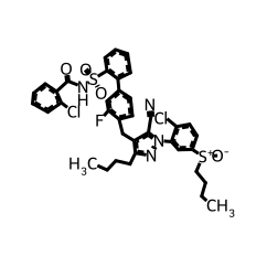 CCCCc1nn(-c2cc([S+]([O-])CCCC)ccc2Cl)c(C#N)c1Cc1ccc(-c2ccccc2S(=O)(=O)NC(=O)c2ccccc2Cl)cc1F